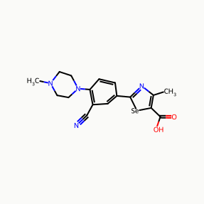 Cc1nc(-c2ccc(N3CCN(C)CC3)c(C#N)c2)[se]c1C(=O)O